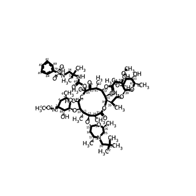 CO/N=C1\C[C@@H](C)O[C@@H](O[C@@H]2[C@@H](C)[C@H](O[C@H]3C[C@@H](C)N(CC(C)(C)C)C[C@H](C)O3)[C@@H](C)C(=O)O[C@H](C(C)CO[C@@H]3O[C@H](C)[C@@H](O)[C@@H](OC)[C@H]3OC)[C@H](C)[C@@H](OC(=O)CC(C)C)[C@@H](C)C(=O)[C@@](C)(OC(=O)NC(C)(C)CNS(=O)(=O)c3ccccc3)C[C@@H]2C)[C@@H]1O